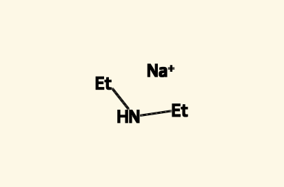 CCNCC.[Na+]